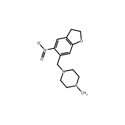 CN1CCN(Cc2cc3c(cc2[N+](=O)[O-])CCO3)CC1